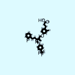 Cc1cc(OCc2cn(-c3ccc(C(F)(F)F)cc3)nc2CCc2ccccc2F)ccc1CCC(=O)O